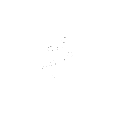 C1=C(c2ccc3c4ccccc4n(-c4ccccc4)c3c2)CC2C(=C1)c1ccccc1N2c1cc(-c2ccccc2)cc(-c2ccccc2)n1